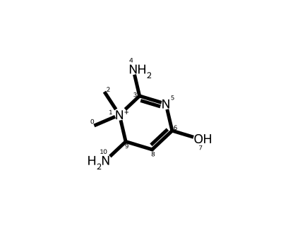 C[N+]1(C)C(N)=NC(O)=CC1N